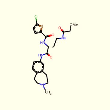 COCC(=O)NCC[C@@H](NC(=O)c1ccc(Cl)s1)C(=O)Nc1ccc2c(c1)CCN(C)CC2